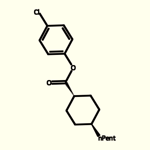 CCCCC[C@H]1CC[C@H](C(=O)Oc2ccc(Cl)cc2)CC1